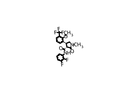 COc1c([C@H]2CN(C)C(=O)[C@@H]2C(=O)Nc2cccc(F)c2F)cccc1C(F)(F)F